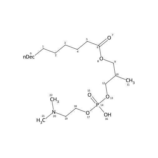 CCCCCCCCCCCCCCCC(=O)OCC(C)COP(=O)(O)OCCN(C)C